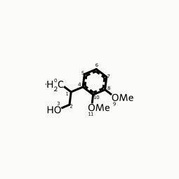 [CH2]C(CO)c1cccc(OC)c1OC